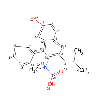 CC(C)Cc1nc2ccc(Br)cc2c(-c2ccccc2)c1N(C)C(=O)O